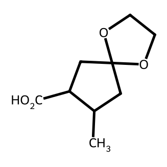 CC1CC2(CC1C(=O)O)OCCO2